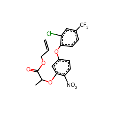 C=CCOC(=O)C(C)Oc1cc(Oc2ccc(C(F)(F)F)cc2Cl)ccc1[N+](=O)[O-]